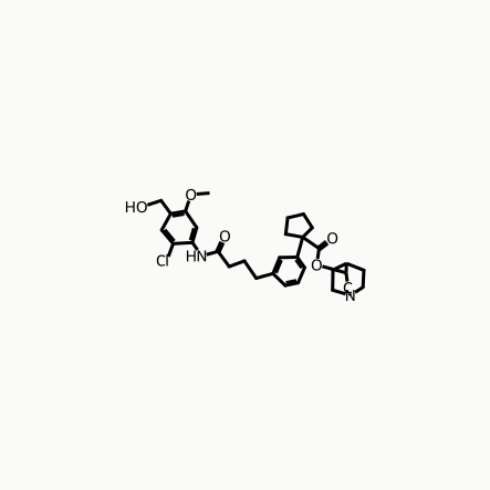 COc1cc(NC(=O)CCCc2cccc(C3(C(=O)OC4CN5CCC4CC5)CCCC3)c2)c(Cl)cc1CO